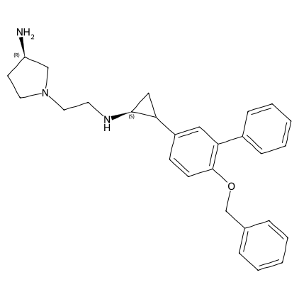 N[C@@H]1CCN(CCN[C@H]2CC2c2ccc(OCc3ccccc3)c(-c3ccccc3)c2)C1